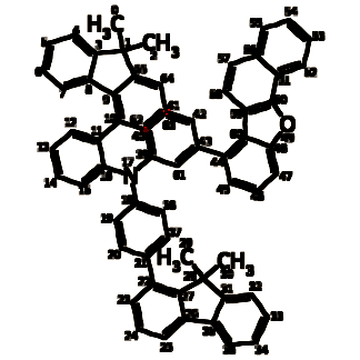 CC1(C)c2ccccc2-c2c(-c3ccccc3N(c3ccc(-c4cccc5c4C(C)(C)c4ccccc4-5)cc3)c3cccc(-c4cccc5oc6c7ccccc7ccc6c45)c3)cccc21